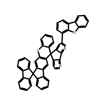 c1ccc2c(c1)Oc1cc3c(cc1C21c2cccnc2-c2ncc(-c4cccc5c4oc4ccccc45)cc21)-c1ccccc1C31c2ccccc2-c2ccccc21